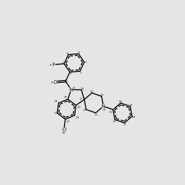 O=C(c1ccccc1F)N1CC2(CCN(c3ccccc3)CC2)c2cc(Cl)ccc21